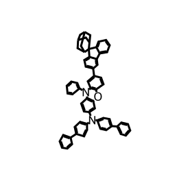 c1ccc(-c2ccc(N(c3ccc(-c4ccccc4)cc3)c3ccc4c(c3)Oc3ccc(-c5ccc6c(c5)-c5ccccc5C65C6CC7CC(C6)CC5C7)cc3N4c3ccccc3)cc2)cc1